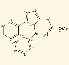 COC(=O)Cc1cnc(-c2ccccc2)n1Cc1ccccc1